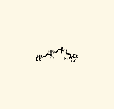 CCNCCC(=O)NCCC(C)(C)OCCC(CC)(CC)C(C)=O